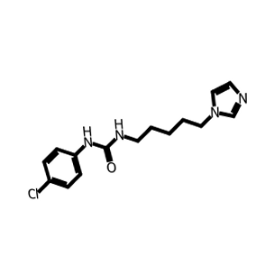 O=C(NCCCCCn1ccnc1)Nc1ccc(Cl)cc1